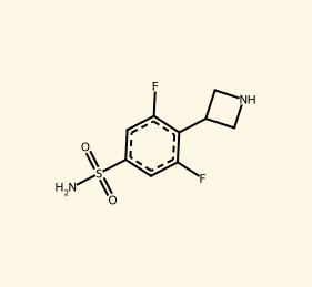 NS(=O)(=O)c1cc(F)c(C2CNC2)c(F)c1